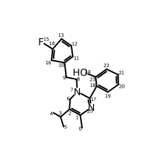 CC1=C(C(C)C)CN(CCc2cccc(F)c2)C(c2ccccc2O)=N1